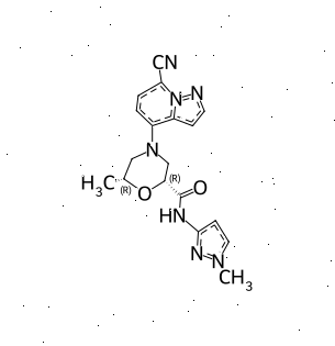 C[C@@H]1CN(c2ccc(C#N)n3nccc23)C[C@H](C(=O)Nc2ccn(C)n2)O1